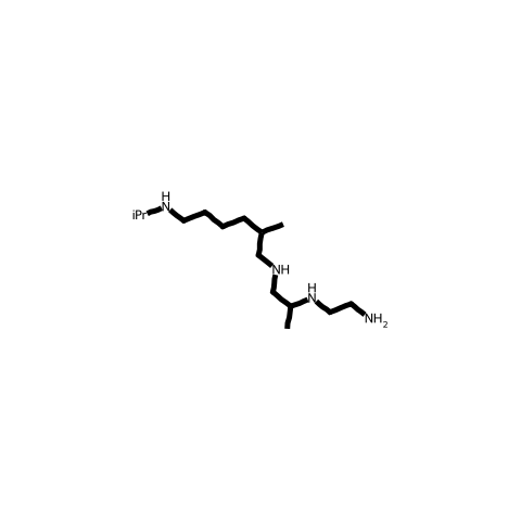 CC(CCCCNC(C)C)CNCC(C)NCCN